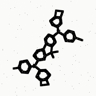 Cc1ccc(N(c2ccc3c(c2)CC3)c2ccc3c(c2)C(C)(C)c2cc(N(c4ccc(C)cc4)c4ccc5c(c4)CC5)ccc2-3)cc1